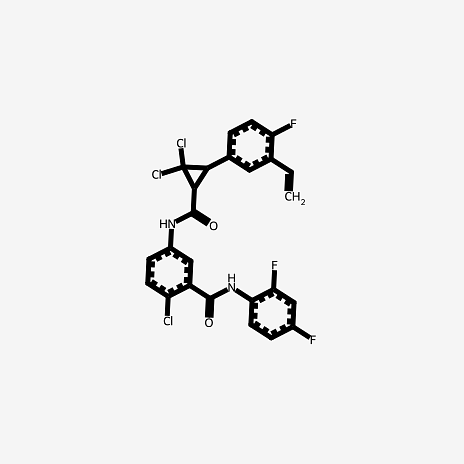 C=Cc1cc(C2C(C(=O)Nc3ccc(Cl)c(C(=O)Nc4ccc(F)cc4F)c3)C2(Cl)Cl)ccc1F